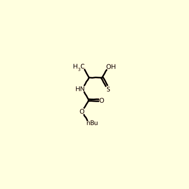 CCCCOC(=O)NC(C)C(O)=S